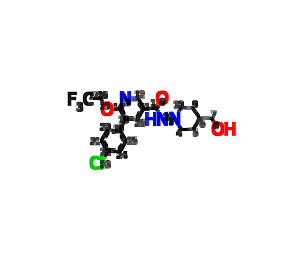 O=C(NN1CCC(CO)CC1)c1cnc(OCC(F)(F)F)c(-c2ccc(Cl)cc2)c1